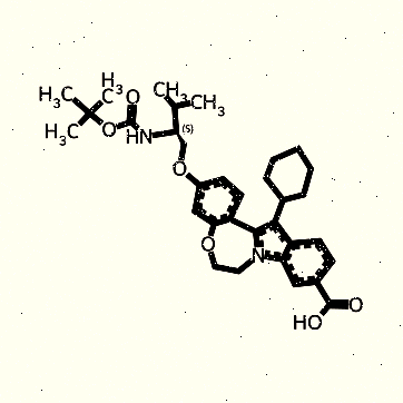 CC(C)[C@@H](COc1ccc2c(c1)OCCn1c-2c(C2CCCCC2)c2ccc(C(=O)O)cc21)NC(=O)OC(C)(C)C